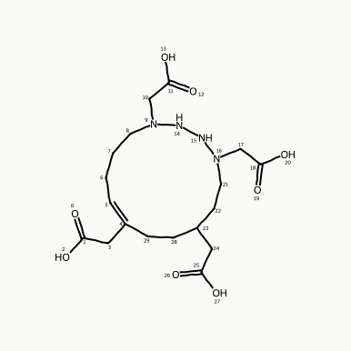 O=C(O)CC1=CCCCN(CC(=O)O)NNN(CC(=O)O)CCC(CC(=O)O)CC1